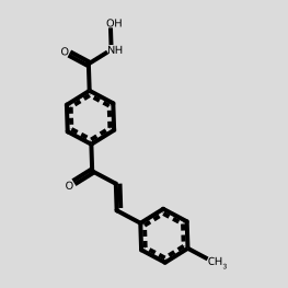 Cc1ccc(C=CC(=O)c2ccc(C(=O)NO)cc2)cc1